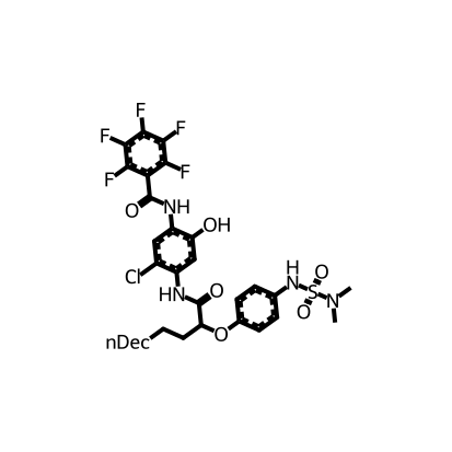 CCCCCCCCCCCCC(Oc1ccc(NS(=O)(=O)N(C)C)cc1)C(=O)Nc1cc(O)c(NC(=O)c2c(F)c(F)c(F)c(F)c2F)cc1Cl